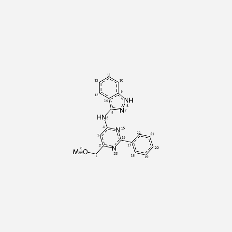 COCc1cc(Nc2n[nH]c3ccccc23)nc(-c2ccccc2)n1